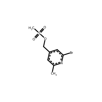 Cc1cc(COS(C)(=O)=O)cc(Br)n1